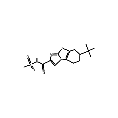 CC(C)(C)C1CCc2c(sc3nc(C(=O)NS(C)(=O)=O)cn23)C1